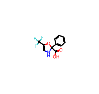 O=C(O)C1(c2ccccc2)NC=C(C(F)(F)F)O1